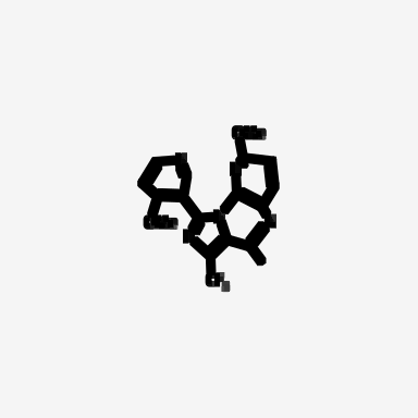 COc1ccc2nc(C)c3c(C(F)(F)F)nc(-c4cnccc4OC)n3c2n1